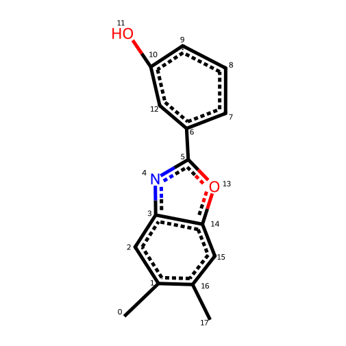 Cc1cc2nc(-c3cc[c]c(O)c3)oc2cc1C